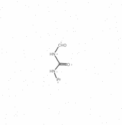 CC(C)NC(=O)NC=O